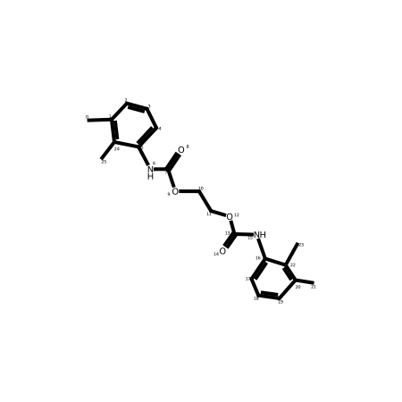 Cc1cccc(NC(=O)OCCOC(=O)Nc2cccc(C)c2C)c1C